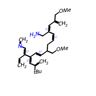 C=CC(=C\N=C)/C(/C=C/C(C/C=C\C(=C/C(=C)COC)CN)COC)=C/C(=C)C(C)(C)C